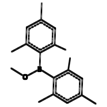 COB(c1c(C)cc(C)cc1C)c1c(C)cc(C)cc1C